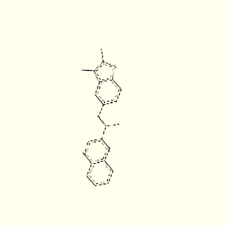 Cc1sc2ccc(CC(C)c3cnc4ccccc4c3)cc2c1C